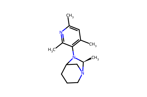 Cc1cc(C)c(N2C3CCCN(C3)[C@@H]2C)c(C)n1